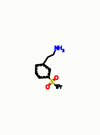 CC(C)S(=O)(=O)c1cccc(CCN)c1